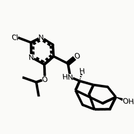 CC(C)Oc1nc(Cl)ncc1C(=O)N[C@H]1C2CC3CC1C[C@@](O)(C3)C2